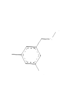 Cc1cc(CNC(C)C)cc(C(F)(F)F)c1